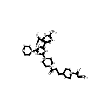 C=CC(=O)N1CCC(CCC(=O)N2CCN(c3nc(-c4cnc(N)nc4C(F)F)nc(N4CCOCC4)n3)CC2)CC1